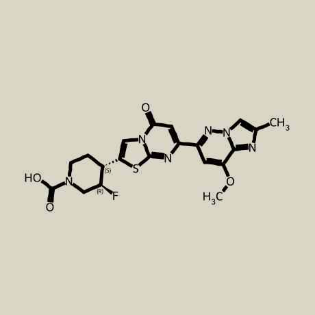 COc1cc(-c2cc(=O)n3cc([C@H]4CCN(C(=O)O)C[C@@H]4F)sc3n2)nn2cc(C)nc12